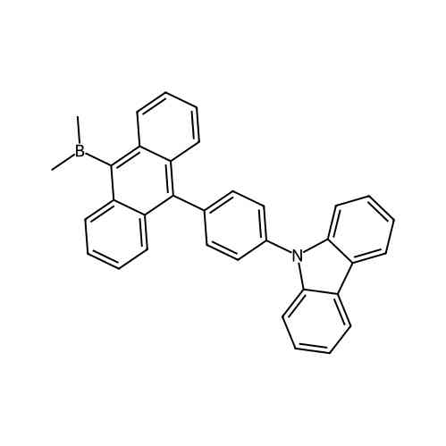 CB(C)c1c2ccccc2c(-c2ccc(-n3c4ccccc4c4ccccc43)cc2)c2ccccc12